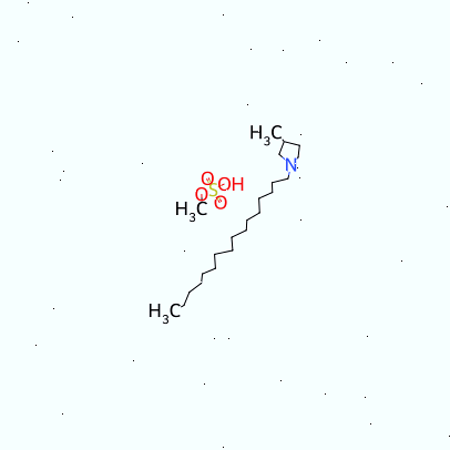 CCCCCCCCCCCCCCCCN1CCC(C)C1.COS(=O)(=O)O